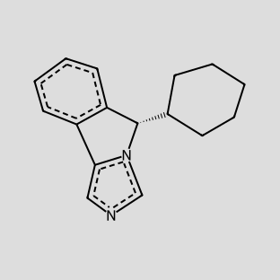 c1ccc2c(c1)-c1cncn1[C@H]2C1CCCCC1